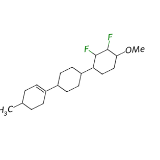 COC1CCC(C2CCC(C3=CCC(C)CC3)CC2)C(F)C1F